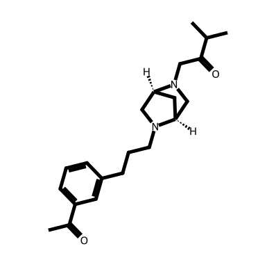 CC(=O)c1cccc(CCCN2C[C@@H]3C[C@H]2CN3CC(=O)C(C)C)c1